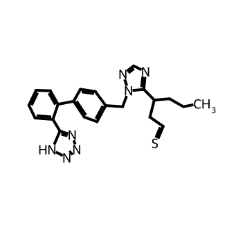 CCCC(CC=S)c1ncnn1Cc1ccc(-c2ccccc2-c2nnn[nH]2)cc1